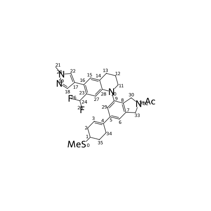 CSC1CC=C(c2cc3c(c(N4CCCc5cc(-c6cnn(C)c6)c(C(F)F)cc54)c2)CN(C(C)=O)C3)CC1